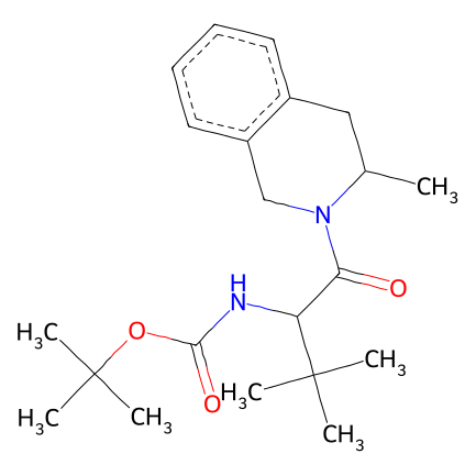 CC1Cc2ccccc2CN1C(=O)C(NC(=O)OC(C)(C)C)C(C)(C)C